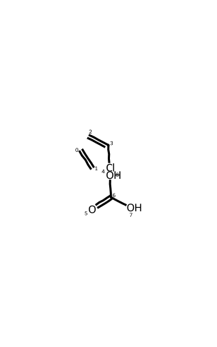 C=C.C=CCl.O=C(O)O